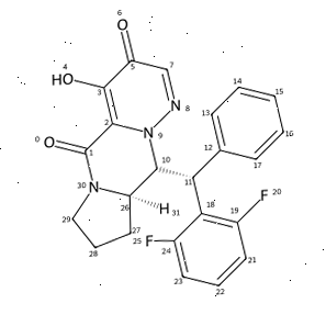 O=C1c2c(O)c(=O)cnn2C([C@H](c2ccccc2)c2c(F)cccc2F)[C@H]2CCCN12